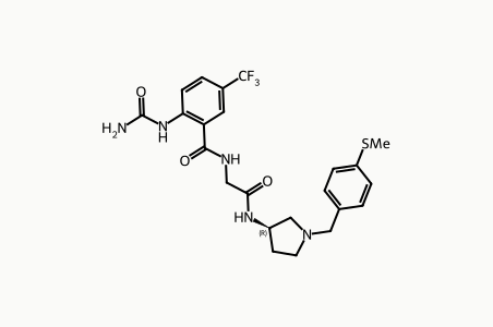 CSc1ccc(CN2CC[C@@H](NC(=O)CNC(=O)c3cc(C(F)(F)F)ccc3NC(N)=O)C2)cc1